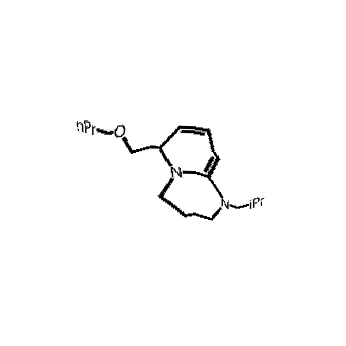 CCCOCC1C=CC=C2N(C(C)C)CCCN21